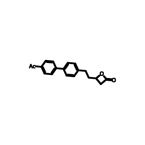 CC(=O)c1ccc(-c2ccc(CCC3CC(=O)O3)cc2)cc1